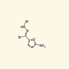 CC(C)NN=C(Br)c1ccc([N+](=O)[O-])o1